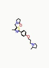 Cc1nc(-c2ccc(OCCCN3CCCC3C)cc2)sc1CN1CCCC1=O